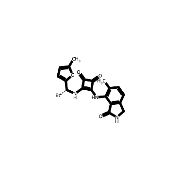 CC[C@@H](Nc1c(Nc2c(C)ccc3c2C(=O)NC3)c(=O)c1=O)c1ccc(C)o1